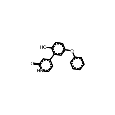 O=c1cc(-c2cc(Oc3ccccc3)ccc2O)cc[nH]1